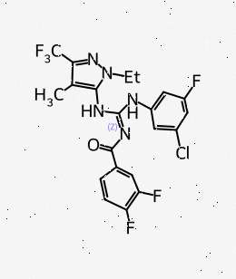 CCn1nc(C(F)(F)F)c(C)c1N/C(=N\C(=O)c1ccc(F)c(F)c1)Nc1cc(F)cc(Cl)c1